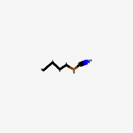 CCCCSC#N